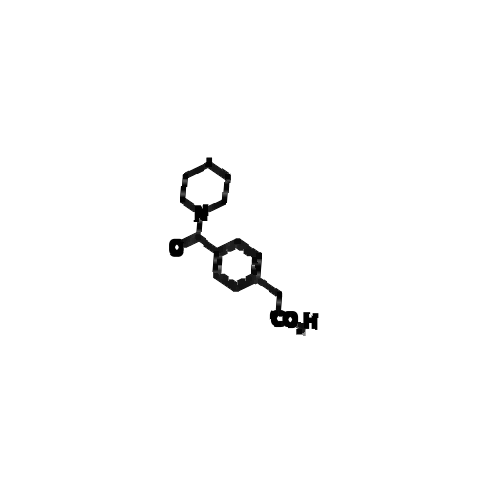 O=C(O)Cc1ccc(C(=O)N2CC[CH]CC2)cc1